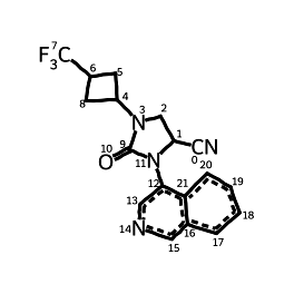 N#CC1CN(C2CC(C(F)(F)F)C2)C(=O)N1c1cncc2ccccc12